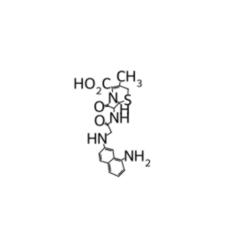 CC1=C(C(=O)O)N2C(=O)C(NC(=O)CNc3ccc4cccc(N)c4c3)[C@@H]2SC1